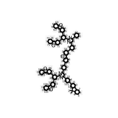 CC1(C)c2ccccc2-c2ccc(-c3ccc(-c4cc(-c5ccc(-c6ccc7c(c6)oc6ccc(-c8cccc(-c9cc(-c%10ccccc%10)nc(-c%10cc(-c%11ccc%12oc%13ccccc%13c%12c%11)cc(-c%11ccc%12oc%13ccccc%13c%12c%11)c%10)n9)c8)cc67)cc5)nc(-c5cc(-c6ccc7oc8ccccc8c7c6)cc(-c6ccc7oc8ccccc8c7c6)c5)n4)cc3)cc21